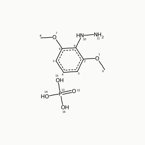 COc1cccc(OC)c1NN.O=P(O)(O)O